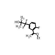 C=C(OCC)c1cc(C(F)(F)C(C)(C)O)ccc1F